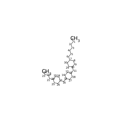 CCCCCCCC1CCC(CC2CCC(CC3CCC(CCCC)CC3)CC2)CC1